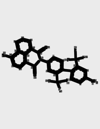 Nc1ccc(-c2ccc(N3C(=O)c4cccc5c(Br)ccc(c45)C3=O)cc2C(F)(F)F)c(C(F)(F)F)c1